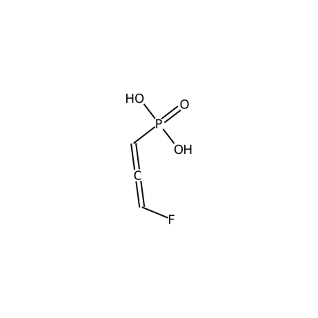 O=P(O)(O)C=C=CF